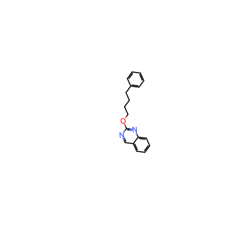 c1ccc(CCCCOc2ncc3ccccc3n2)cc1